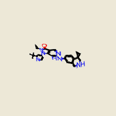 CC(C)(C)c1cc(-n2c3cc(Nc4ccc5c(c4)CNCC54CC4)ncc3c(=O)n2C2CC2)ccn1